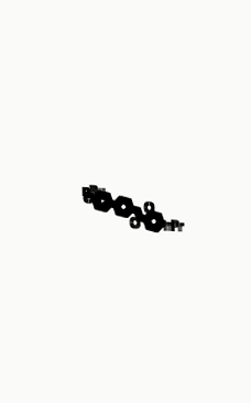 CCCCOc1ccc(C2CCC(CC(=O)C3CCC(CCC)CC3=O)CC2)cc1